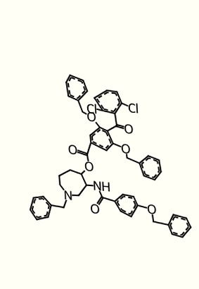 O=C(NC1CN(Cc2ccccc2)CCCC1OC(=O)c1cc(OCc2ccccc2)c(C(=O)c2c(Cl)cccc2Cl)c(OCc2ccccc2)c1)c1ccc(OCc2ccccc2)cc1